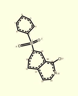 O=S(=O)(c1ccccc1)c1ccc2ccnc(Cl)c2c1